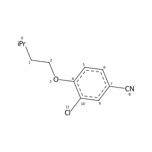 CC(C)CCOc1ccc(C#N)cc1Cl